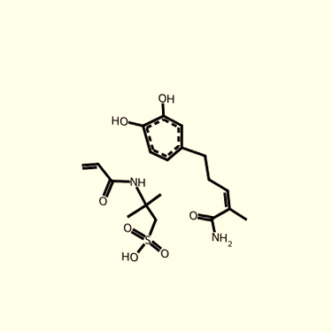 C=CC(=O)NC(C)(C)CS(=O)(=O)O.CC(=CCCc1ccc(O)c(O)c1)C(N)=O